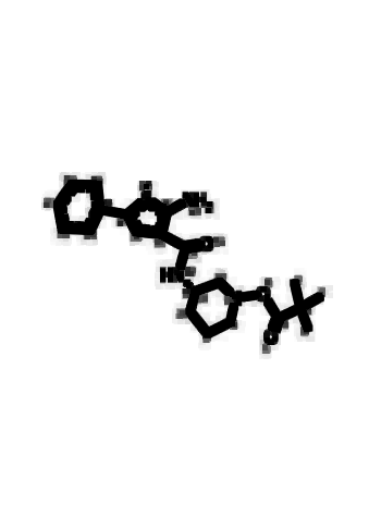 CC(C)(C)C(=O)ON1CCC[C@H](NC(=O)c2cc(-c3ccccc3)sc2N)C1